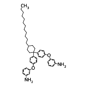 CCCCCCCCCCCCC1CCC(c2ccc(Oc3cccc(N)c3)cc2)(c2ccc(Oc3cccc(N)c3)cc2)CC1